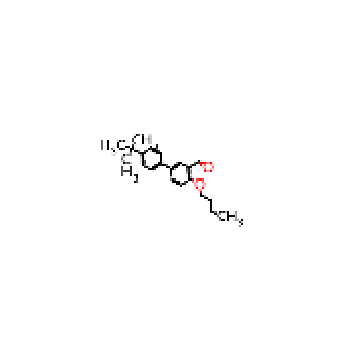 CCCCOc1ccc(-c2ccc(C(C)(C)C)cc2)cc1C=O